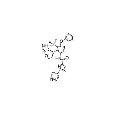 NC[C@H]1CN(c2c(NC(=O)c3csc(-c4ccnnc4)n3)ccc(Oc3ccccc3)c2C(F)(F)F)CCO1